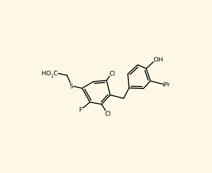 CC(C)c1cc(Cc2c(Cl)cc(SCC(=O)O)c(F)c2Cl)ccc1O